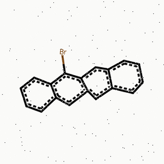 Brc1c2ccccc2cc2cc3ccccc3cc12